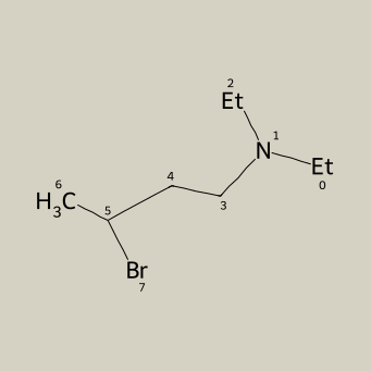 CCN(CC)CCC(C)Br